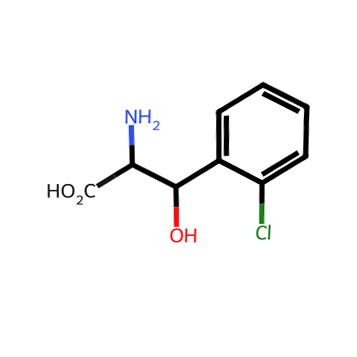 NC(C(=O)O)C(O)c1ccccc1Cl